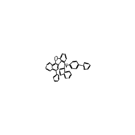 c1ccc(-c2ccc(N(c3cccc4ccccc34)c3cccc4oc5c6ccccc6c(-c6ccccc6)cc5c34)cc2)cc1